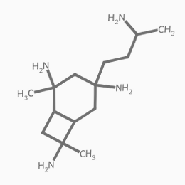 CC(N)CCC1(N)CC2C(CC2(C)N)C(C)(N)C1